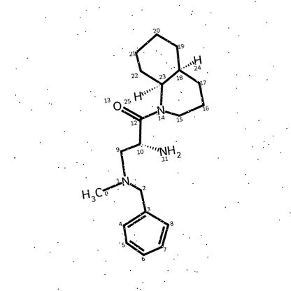 CN(Cc1ccccc1)C[C@@H](N)C(=O)N1CCC[C@@H]2CCCC[C@@H]21